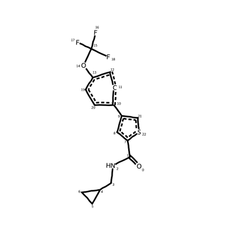 O=C(NCC1CC1)c1cc(-c2ccc(OC(F)(F)F)cc2)cs1